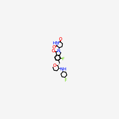 O=C1CCC(N2Cc3c(ccc(C[C@H]4OCCC[C@@H]4N[C@H]4CC[C@@H](F)CC4)c3F)C2=O)C(=O)N1